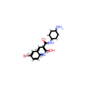 NC1CCC(NC(=O)c2cc3cc(Br)ccc3nc2O)CC1